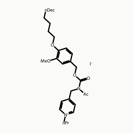 CCCCCCCCCCCCCCOc1ccc(COC(=O)N(Cc2cc[n+](CCC)cc2)C(C)=O)cc1OC.[I-]